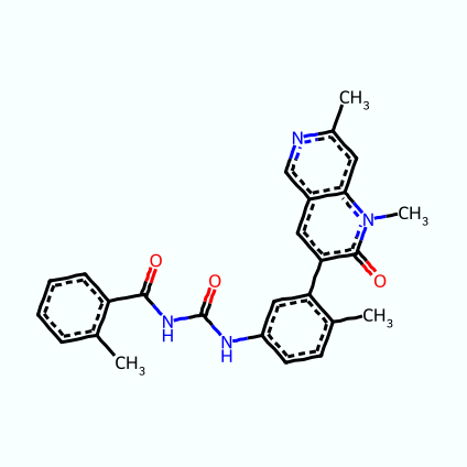 Cc1cc2c(cn1)cc(-c1cc(NC(=O)NC(=O)c3ccccc3C)ccc1C)c(=O)n2C